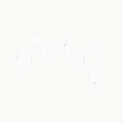 CC1CN(C(=O)c2ccc([S+]([O-])CC(=O)O)c([N+](=O)[O-])c2)CCN1c1cccc(Cl)c1